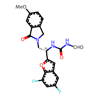 COc1ccc2c(c1)C(=O)N(C[C@H](NC(=O)NC=O)c1cc3cc(F)cc(F)c3o1)C2